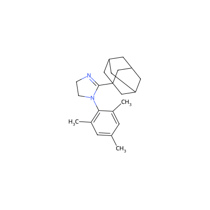 Cc1cc(C)c(N2CCN=C2C23CC4CC(CC(C4)C2)C3)c(C)c1